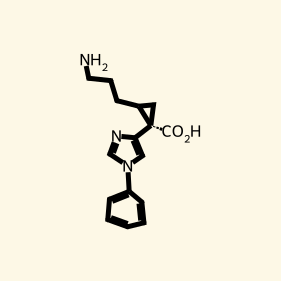 NCCCC1C[C@@]1(C(=O)O)c1cn(-c2ccccc2)cn1